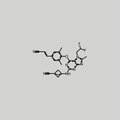 Cc1cc(/C=C/C#N)cc(C)c1Oc1nc(NC23CC(C#N)(C2)C3)nc2nc(C)n(CC(F)F)c12